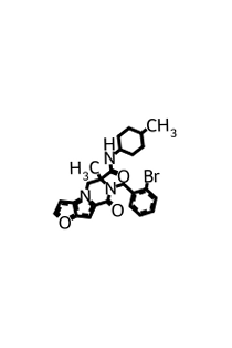 CC1CCC(NC(=O)C2(C)Cn3c(cc4occc43)C(=O)N2Cc2ccccc2Br)CC1